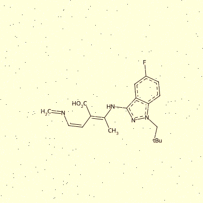 C=N/C=C\C(C(=O)O)=C(/C)Nc1nn(CC(C)(C)C)c2ccc(F)cc12